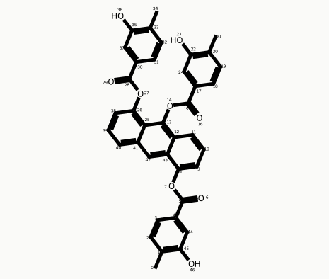 Cc1ccc(C(=O)Oc2cccc3c(OC(=O)c4ccc(C)c(O)c4)c4c(OC(=O)c5ccc(C)c(O)c5)cccc4cc23)cc1O